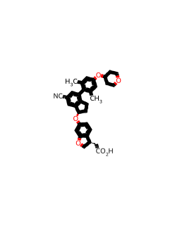 Cc1cc(OC2CCOCC2)cc(C)c1-c1cc(C#N)cc2c1CC[C@H]2Oc1ccc2c(c1)OC[C@H]2CC(=O)O